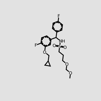 COCOCCCS(=O)(=O)NC(c1ccc(F)cc1)c1ccc(F)c(OCC2CC2)c1